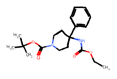 CCOC(=O)NC1(c2ccccc2)CCN(C(=O)OC(C)(C)C)CC1